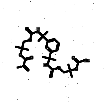 C=C(C)C(=O)OC(C)(C)COC(=O)NC(C)(C)c1cccc(C(C)(C)NC(=O)OCC(C)(C)OC(=O)C(C)(C)C)c1